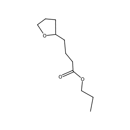 CCCOC(=O)CCCC1CCCO1